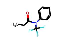 CCC(=O)N(c1ccccc1)C(F)(F)F